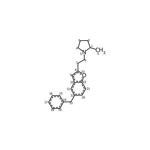 CC1CCCN1CCc1cc2cc(Cc3ccccc3)ccc2o1